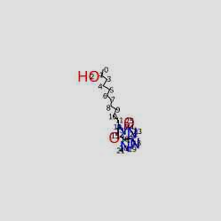 CC(O)CCCCCCCCCCn1c(=O)c2c(ncn2C)n(C)c1=O